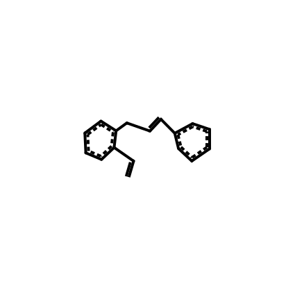 C=Cc1ccccc1CC=Cc1ccccc1